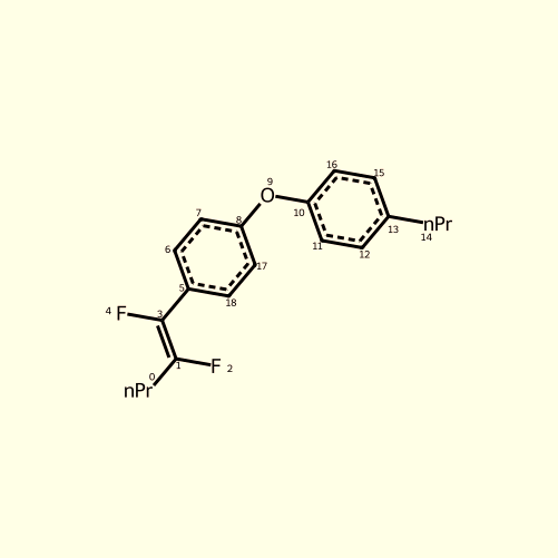 CCC/C(F)=C(\F)c1ccc(Oc2ccc(CCC)cc2)cc1